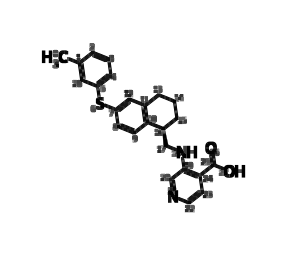 Cc1cccc(Sc2ccc3c(c2)CCC[C@H]3CNc2cnccc2C(=O)O)c1